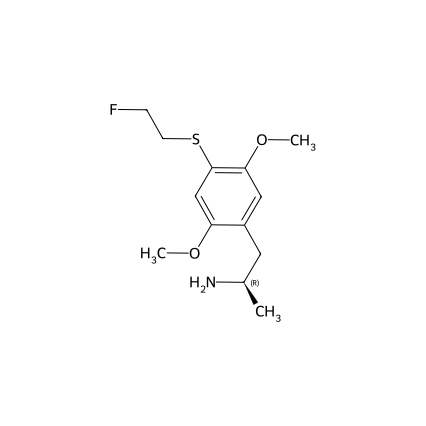 COc1cc(SCCF)c(OC)cc1C[C@@H](C)N